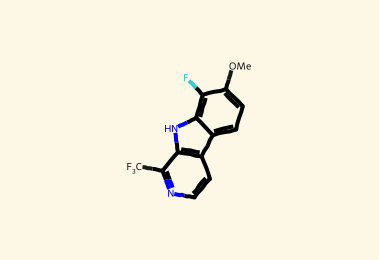 COc1ccc2c([nH]c3c(C(F)(F)F)nccc32)c1F